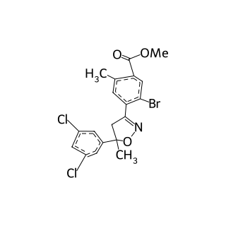 COC(=O)c1cc(Br)c(C2=NOC(C)(c3cc(Cl)cc(Cl)c3)C2)cc1C